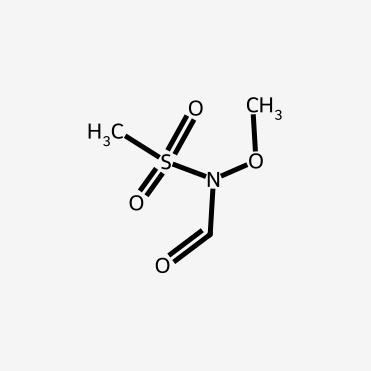 CON(C=O)S(C)(=O)=O